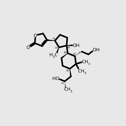 C[C@H](O)C[C@H]1CC[C@@H]([C@@]2(O)CC[C@H](C3=CC(=O)OC3)[C@@H]2C)[C@H](CCO)C1(C)C